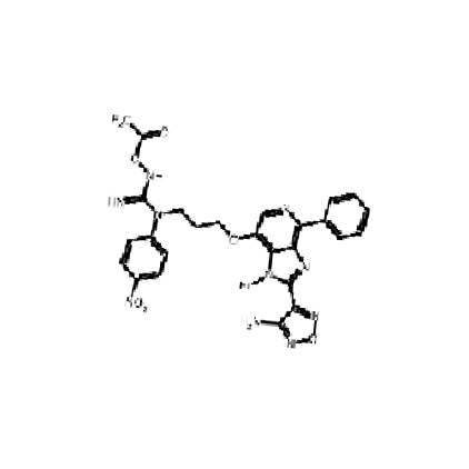 CCn1c(-c2nonc2N)nc2c(-c3ccccc3)ncc(OCCCN(C(=N)NOC(=O)C(F)(F)F)c3ccc([N+](=O)[O-])cc3)c21